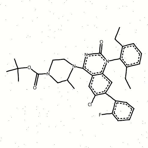 CCc1cccc(CC)c1-n1c(=O)nc(N2CCN(C(=O)OC(C)(C)C)CC2C)c2cc(Cl)c(-c3ccccc3F)cc21